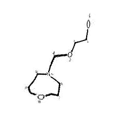 [O]CCOCN1CCOCC1